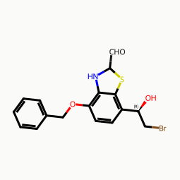 O=CC1Nc2c(OCc3ccccc3)ccc([C@@H](O)CBr)c2S1